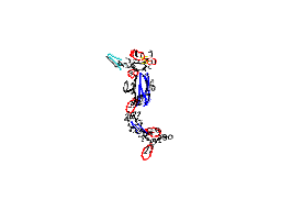 Cc1c(Oc2ccc(S(C)(=O)=O)cc2F)ncnc1OC1CCN(C(CC=O)OC(C)C)CC1